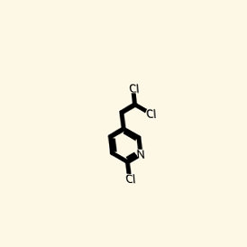 Clc1ccc(CC(Cl)Cl)cn1